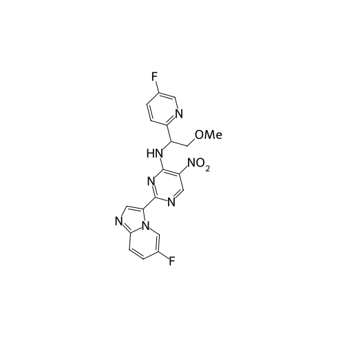 COCC(Nc1nc(-c2cnc3ccc(F)cn23)ncc1[N+](=O)[O-])c1ccc(F)cn1